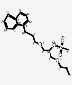 CCCOC[C@@H](COCCCc1cccc2ccccc12)OS(C)(=O)=O